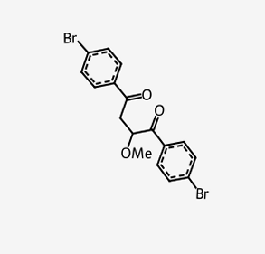 COC(CC(=O)c1ccc(Br)cc1)C(=O)c1ccc(Br)cc1